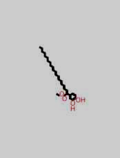 CCCCCCCCCC=CC=CC=CC=CC=CC=C(C(=O)OCC)c1ccc(O)c(O)c1